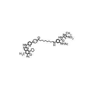 CC(=O)Nc1cc(NCCCCCCCCC(=O)N2CCN(c3ccc(Nc4ncc5c(C)c(C(C)=O)c(=O)n(C6CCCC6)c5n4)nc3)CC2)ccc1C(=O)Nc1nc(C)c([N+](=O)[O-])s1